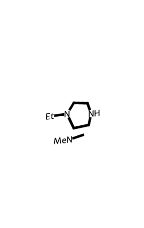 CCN1CCNCC1.CNC